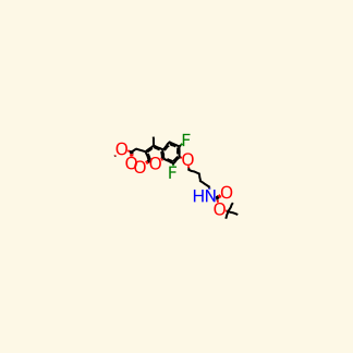 COC(=O)Cc1c(C)c2cc(F)c(OCCCCNC(=O)OC(C)(C)C)c(F)c2oc1=O